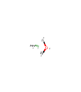 CCOCC.Cl.[HH]